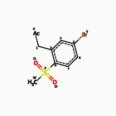 CC(=O)Cc1cc(Br)ccc1S(C)(=O)=O